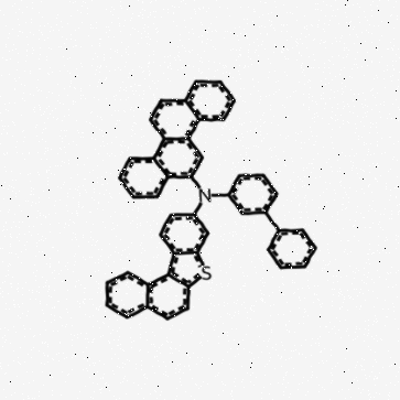 c1ccc(-c2cccc(N(c3ccc4c(c3)sc3ccc5ccccc5c34)c3cc4c5ccccc5ccc4c4ccccc34)c2)cc1